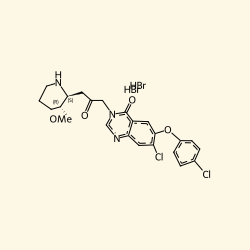 Br.Br.CO[C@@H]1CCCN[C@H]1CC(=O)Cn1cnc2cc(Cl)c(Oc3ccc(Cl)cc3)cc2c1=O